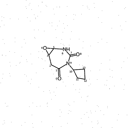 O=C1CC2OC2NC(=O)N1C1CCC1